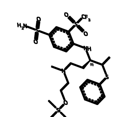 CC(Sc1ccccc1)[C@@H](CCN(C)CCO[Si](C)(C)C(C)(C)C)Nc1ccc(S(N)(=O)=O)cc1S(=O)(=O)C(F)(F)F